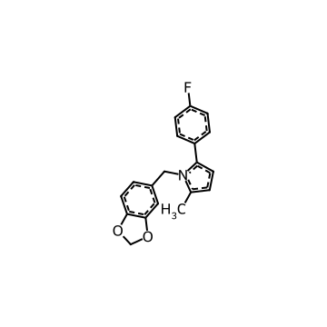 Cc1ccc(-c2ccc(F)cc2)n1Cc1ccc2c(c1)OCO2